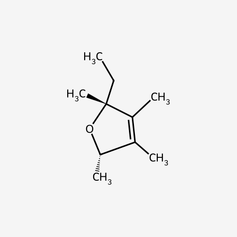 CC[C@@]1(C)O[C@@H](C)C(C)=C1C